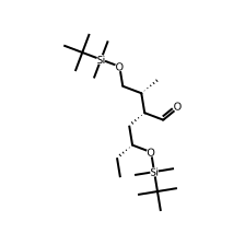 CC[C@H](C[C@@H](C=O)[C@@H](C)CO[Si](C)(C)C(C)(C)C)O[Si](C)(C)C(C)(C)C